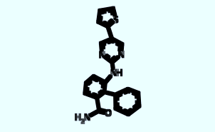 NC(=O)c1cccc(Nc2ncc(-c3cccs3)cn2)c1-c1ccccc1